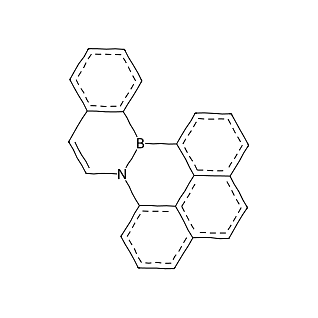 C1=CN2B(c3ccccc31)c1cccc3ccc4cccc2c4c13